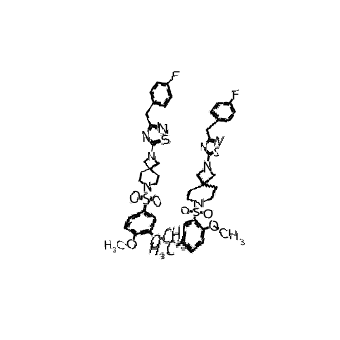 COc1ccc(C)cc1S(=O)(=O)N1CCC2(CC1)CN(c1nc(Cc3ccc(F)cc3)ns1)C2.COc1ccc(S(=O)(=O)N2CCC3(CC2)CN(c2nc(Cc4ccc(F)cc4)ns2)C3)cc1OC